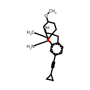 COC1CCC2(CC1)Cc1ccc(C#CC3CC3)cc1C21N=C(N)N(C)C1O